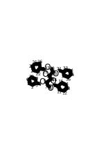 c1ccc(CO[C@@H]2COC(c3ccccc3)O[C@H]2[C@@H]2OC(c3ccccc3)OC[C@H]2OCc2ccccc2)cc1